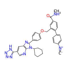 [C-]#[N+]c1ccc(-c2ccc(C(=O)NC)cc2COc2ccc(-c3nc4cc(-c5nnn[nH]5)cnc4n3C3CCCCC3)cc2)cc1